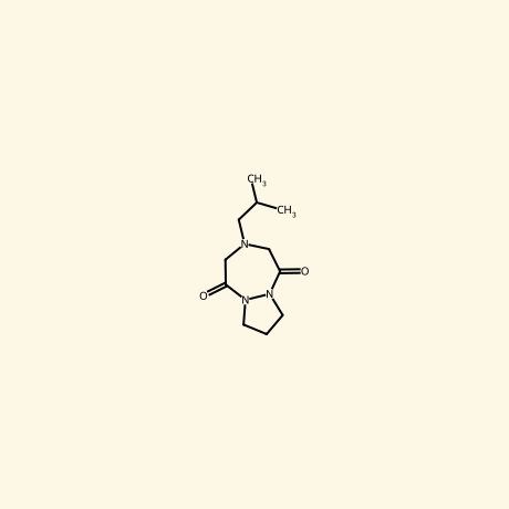 CC(C)CN1CC(=O)N2CCCN2C(=O)C1